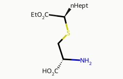 CCCCCCC[C@@H](SC[C@H](N)C(=O)O)C(=O)OCC